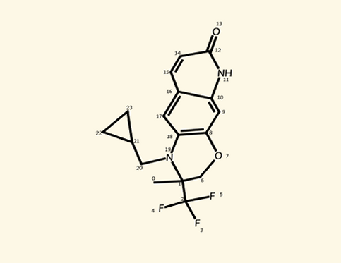 CC1(C(F)(F)F)COc2cc3[nH]c(=O)ccc3cc2N1CC1CC1